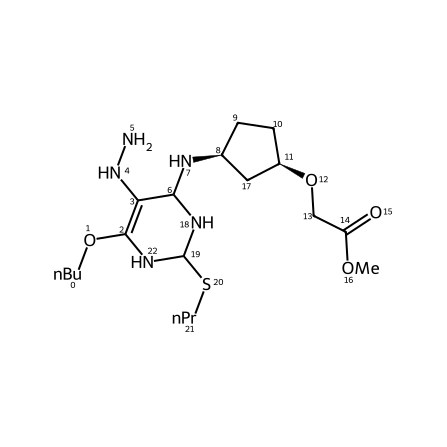 CCCCOC1=C(NN)C(N[C@H]2CC[C@@H](OCC(=O)OC)C2)NC(SCCC)N1